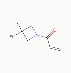 C=CC(=O)N1CC(C)(CC)C1